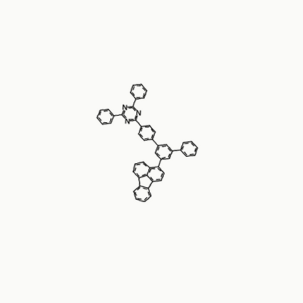 c1ccc(-c2cc(-c3ccc(-c4nc(-c5ccccc5)nc(-c5ccccc5)n4)cc3)cc(-c3ccc4c5c(cccc35)-c3ccccc3-4)c2)cc1